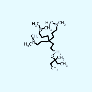 CCC(C)(CC)O[SiH2]CCC(CCCN(C)C)(CCCN(C)C)CCCN(C)C